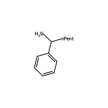 CCCCCC([SiH3])c1ccccc1